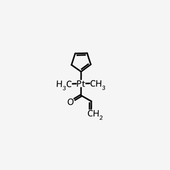 C=C[C](=O)[Pt]([CH3])([CH3])[C]1=CC=CC1